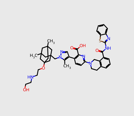 Cc1c(-c2ccc(N3CCc4cccc(C(=O)Nc5nc6ccccc6s5)c4C3)nc2C(=O)O)cnn1CC12CC3(C)CC(C)(C1)CC(OCCNCCO)(C3)C2